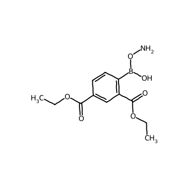 CCOC(=O)c1ccc(B(O)ON)c(C(=O)OCC)c1